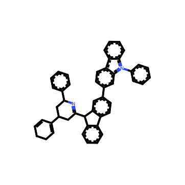 C1=CC(C2CC(C3c4ccccc4-c4ccc(-c5ccc6c7ccccc7n(-c7ccccc7)c6c5)cc43)=NC(c3ccccc3)C2)=CCC1